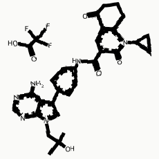 CC(C)(O)Cn1cc(-c2ccc(NC(=O)c3cc4c(n(C5CC5)c3=O)CCCC4=O)cc2)c2c(N)ncnc21.O=C(O)C(F)(F)F